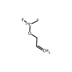 C=C[CH]O[14CH](F)F